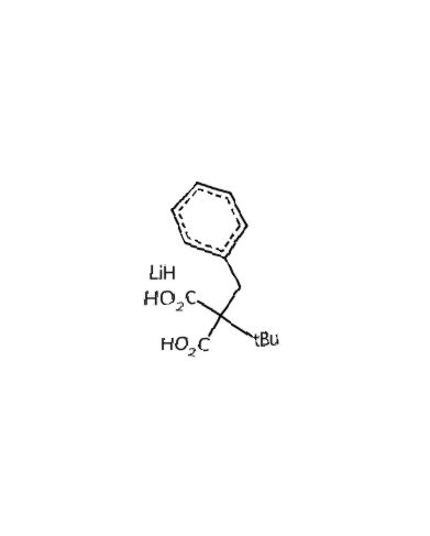 CC(C)(C)C(Cc1ccccc1)(C(=O)O)C(=O)O.[LiH]